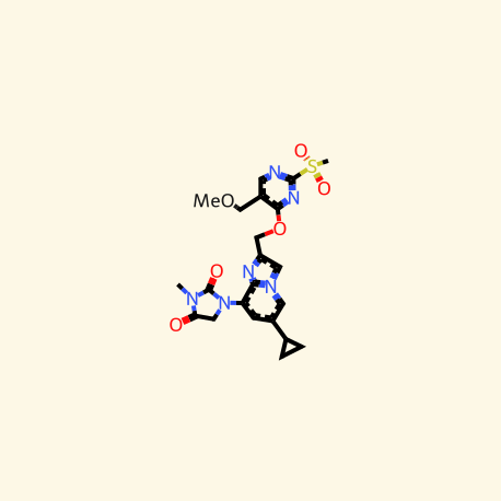 COCc1cnc(S(C)(=O)=O)nc1OCc1cn2cc(C3CC3)cc(N3CC(=O)N(C)C3=O)c2n1